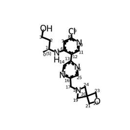 C[C@@H](CCO)Nc1cc(Cl)ncc1-c1cnc(CN2CC3(COC3)C2)cn1